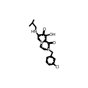 CC(C)CNc1cn2ccn(Cc3cccc(Cl)c3)c(=O)c2c(O)c1=O